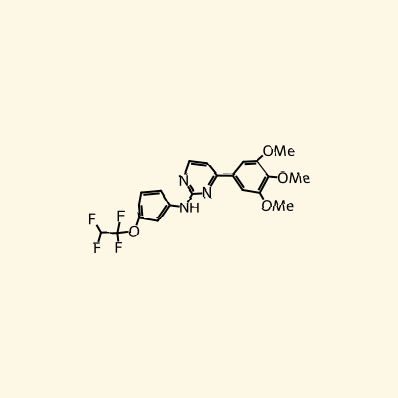 COc1cc(-c2ccnc(Nc3cccc(OC(F)(F)C(F)F)c3)n2)cc(OC)c1OC